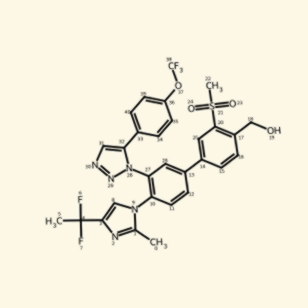 Cc1nc(C(C)(F)F)cn1-c1ccc(-c2ccc(CO)c(S(C)(=O)=O)c2)cc1-n1nncc1-c1ccc(OC(F)(F)F)cc1